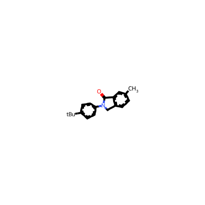 Cc1ccc2c(c1)C(=O)N(c1ccc(C(C)(C)C)cc1)C2